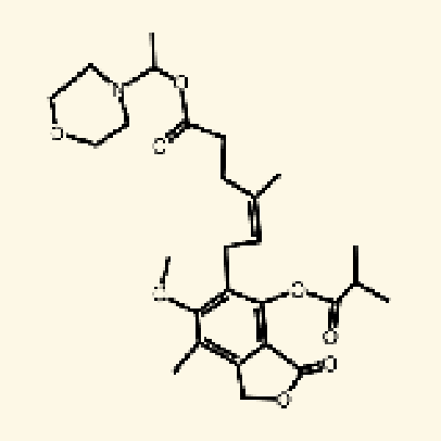 COc1c(C)c2c(c(OC(=O)C(C)C)c1CC=C(C)CCC(=O)OC(C)N1CCOCC1)C(=O)OC2